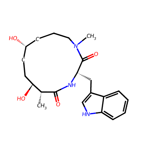 C[C@H]1C(=O)N[C@@H](Cc2c[nH]c3ccccc23)C(=O)N(C)CCC[C@@H](O)CC[C@@H]1O